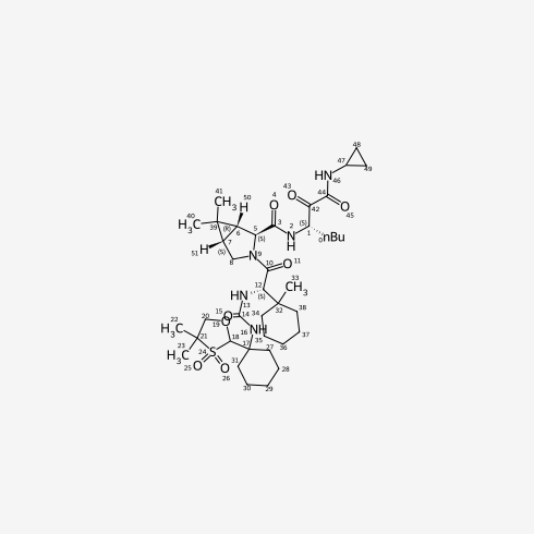 CCCC[C@H](NC(=O)[C@@H]1[C@@H]2[C@H](CN1C(=O)[C@@H](NC(=O)NC1(C3OCC(C)(C)S3(=O)=O)CCCCC1)C1(C)CCCCC1)C2(C)C)C(=O)C(=O)NC1CC1